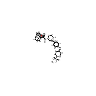 CS(=O)(=O)N1CCC(Oc2ccc(N3CCC[C@H](NC(=O)C45CC6CC(C4)C(O)C(C6)C5)C3)cc2)CC1